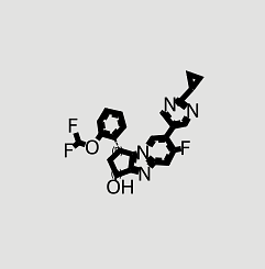 O[C@@H]1C[C@H](c2ccccc2OC(F)F)c2c1nc1cc(F)c(-c3cnc(C4CC4)nc3)cn21